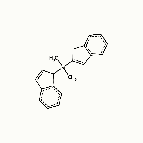 C[Si](C)(C1=Cc2ccccc2C1)C1C=Cc2ccccc21